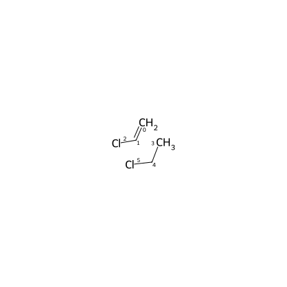 C=CCl.CCCl